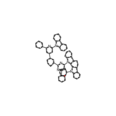 c1ccc(-c2cc(-c3cccc(-c4nc(-c5ccccc5)nc(-n5c6ccccc6c6ccc7c8ccccc8n(-c8ccccc8)c7c65)n4)c3)cc(-n3c4ccccc4c4ccccc43)n2)cc1